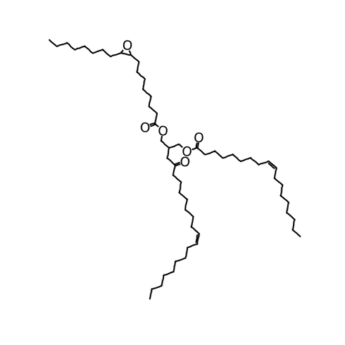 CCCCCCCC/C=C\CCCCCCCC(=O)CC(COC(=O)CCCCCCC/C=C\CCCCCCCC)COC(=O)CCCCCCCC1OC1CCCCCCCC